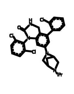 CC(C)N1CC2CC1CN2c1cc(-c2ccccc2Cl)c2c(c1)N(c1c(Cl)cccc1Cl)C(=O)NC2